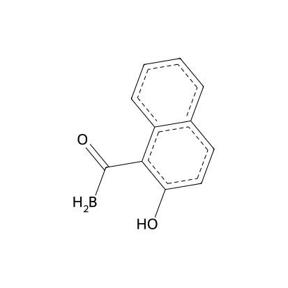 BC(=O)c1c(O)ccc2ccccc12